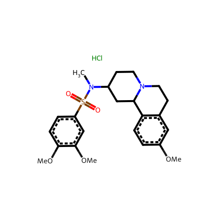 COc1ccc2c(c1)CCN1CCC(N(C)S(=O)(=O)c3ccc(OC)c(OC)c3)CC21.Cl